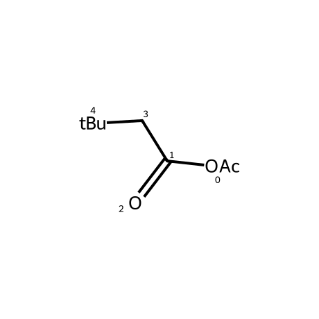 [CH2]C(=O)OC(=O)CC(C)(C)C